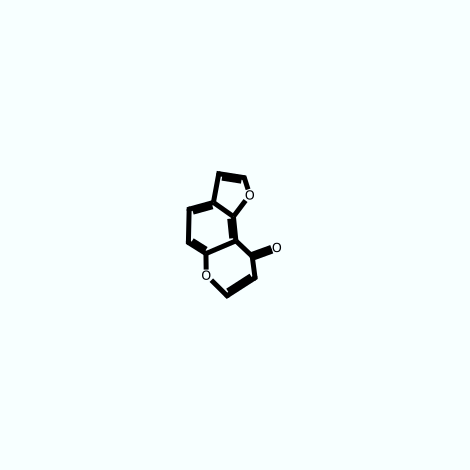 O=c1ccoc2ccc3ccoc3c12